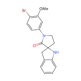 COc1cc(N2CCC3(Cc4ccccc4N3)C2=O)ccc1Br